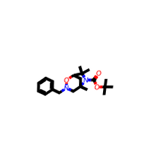 CC(C)(C)OC(=O)N1C2(C)CC(ON(Cc3ccccc3)C2)C1(C)C